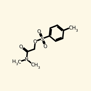 Cc1ccc(S(=O)(=O)OCC(=O)N(C)C)cc1